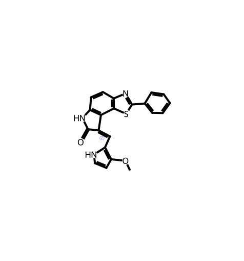 COc1cc[nH]c1/C=C1\C(=O)Nc2ccc3nc(-c4ccccc4)sc3c21